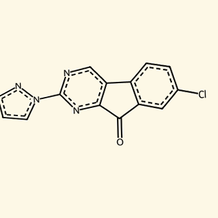 O=C1c2cc(Cl)ccc2-c2cnc(-n3cccn3)nc21